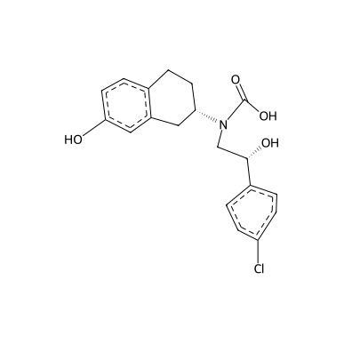 O=C(O)N(C[C@H](O)c1ccc(Cl)cc1)[C@H]1CCc2ccc(O)cc2C1